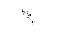 OCCO.[B].[B]